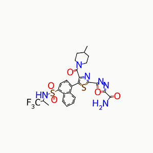 CC1CCN(C(=O)c2nc(-c3nnc(C(N)=O)o3)sc2-c2ccc(S(=O)(=O)NC(C)C(F)(F)F)c3ccccc23)CC1